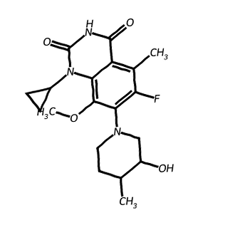 COc1c(N2CCC(C)C(O)C2)c(F)c(C)c2c(=O)[nH]c(=O)n(C3CC3)c12